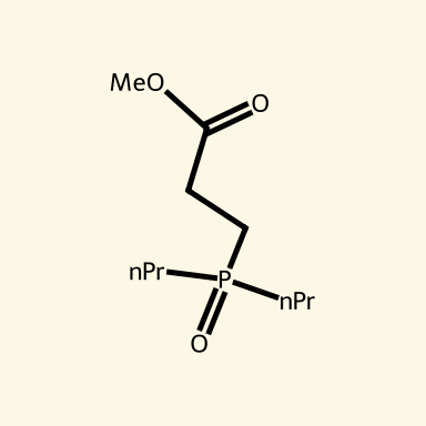 CCCP(=O)(CCC)CCC(=O)OC